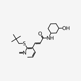 C=N/C(SCC(C)(C)C)=C(\C=C/C)/C=C/C(=O)NC1CCCC(O)C1